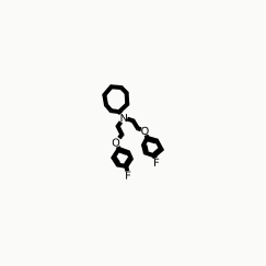 Fc1ccc(OCCN(CCOc2ccc(F)cc2)C2CCCCCCC2)cc1